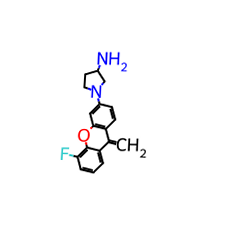 C=C1c2ccc(N3CCC(N)C3)cc2Oc2c(F)cccc21